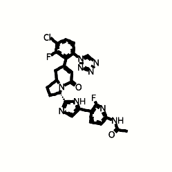 CC(=O)Nc1ccc(-c2cnc([C@@H]3CCC4CC(c5c(-n6cnnn6)ccc(Cl)c5F)=CC(=O)N43)[nH]2)c(F)n1